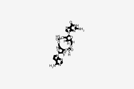 Nc1nc2c(ncn2[C@@H]2O[C@@H]3CO[P@@](=O)(S)O[C@H]4[C@H](F)[C@H](n5ccc6c(N)ncnc65)O[C@@H]4CO[P@](=O)(S)O[C@@H]2[C@H]3F)c(=O)[nH]1